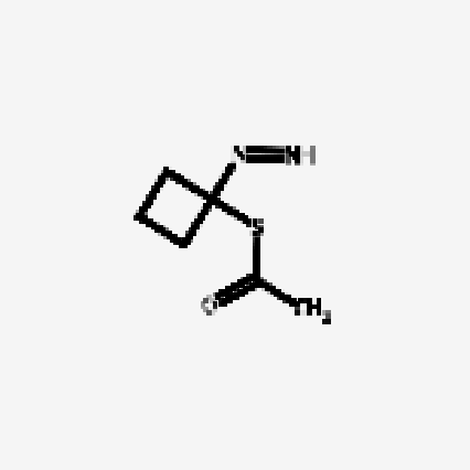 CC(=O)SC1(N=N)CCC1